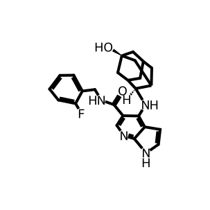 O=C(NCc1ccccc1F)c1cnc2[nH]ccc2c1N[C@H]1C2CC3CC1C[C@@](O)(C3)C2